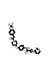 O=C(Nc1ccc(OC2CCN(C(=O)Cc3ccc(OC(F)(F)F)cc3)CC2)cc1)C1CN(c2cccnn2)C1